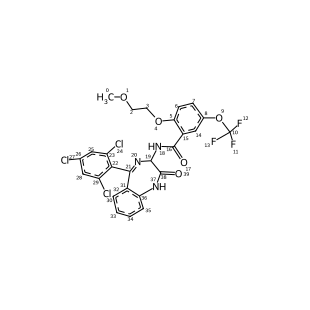 COCCOc1ccc(OC(F)(F)F)cc1C(=O)NC1N=C(c2c(Cl)cc(Cl)cc2Cl)c2ccccc2NC1=O